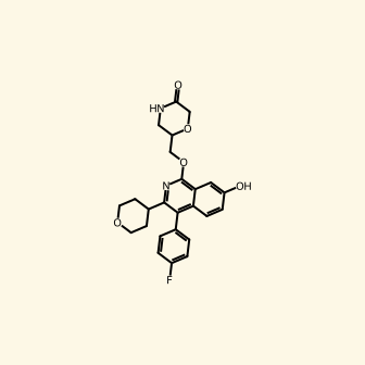 O=C1COC(COc2nc(C3CCOCC3)c(-c3ccc(F)cc3)c3ccc(O)cc23)CN1